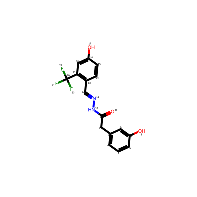 O=C(Cc1cccc(O)c1)N/N=C/c1ccc(O)cc1C(F)(F)F